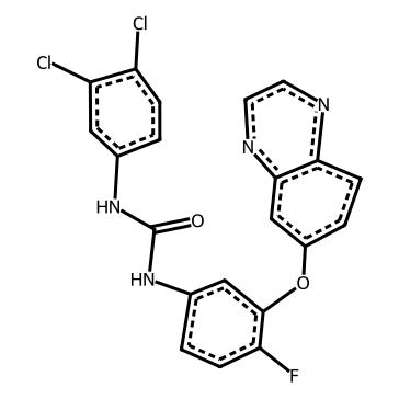 O=C(Nc1ccc(Cl)c(Cl)c1)Nc1ccc(F)c(Oc2ccc3nccnc3c2)c1